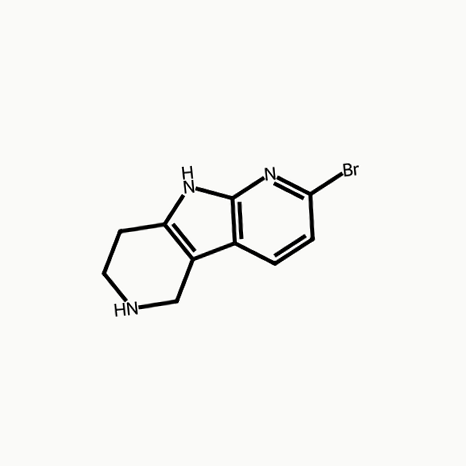 Brc1ccc2c3c([nH]c2n1)CCNC3